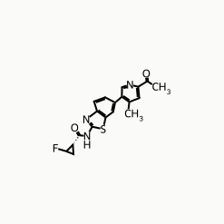 CC(=O)c1cc(C)c(-c2ccc3nc(NC(=O)[C@@H]4CC4F)sc3c2)cn1